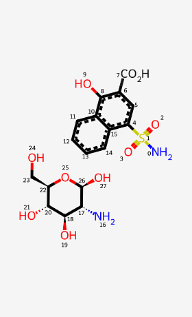 NS(=O)(=O)c1cc(C(=O)O)c(O)c2ccccc12.N[C@@H]1[C@@H](O)[C@H](O)[C@@H](CO)O[C@H]1O